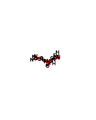 Cc1n[nH]c2c(F)cc(NC(=O)c3ccc4c(c3)nc(CN3CC=C(c5cccc(OCc6ccc(C#N)c7c6ncn7C)n5)CC3)n4C[C@@H]3CCO3)cc12